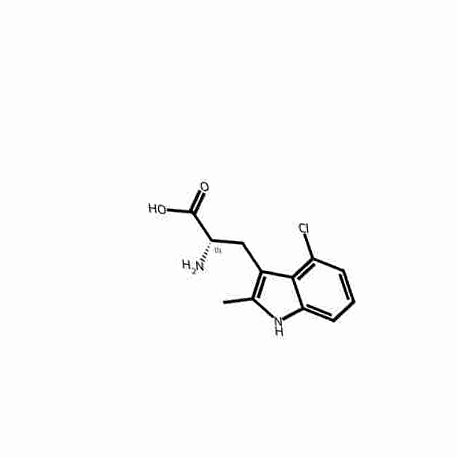 Cc1[nH]c2cccc(Cl)c2c1C[C@H](N)C(=O)O